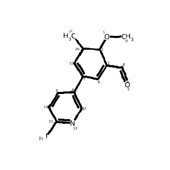 COC1C(C=O)=CC(c2ccc(I)nc2)=CC1C